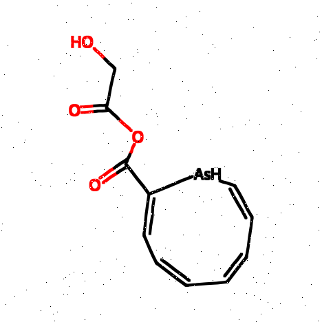 O=C(CO)OC(=O)C1=CC=CC=CC=C[AsH]1